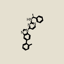 Cc1ccccc1-c1ccc2c(c1)ncn2-c1ccnc(N[C@@H](C)c2ccccc2)n1